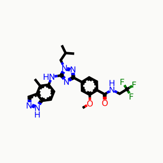 COc1cc(-c2nc(Nc3ccc4[nH]ncc4c3C)n(CC(C)C)n2)ccc1C(=O)NCC(F)(F)F